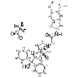 CCc1cc2c(cc1CC)CC(NC(=O)C[N+]13CCC(CC1)[C@@H](OC(=O)C(O)(c1ccccc1)c1ccccc1)C3)C2.O=C([O-])C(F)(F)F